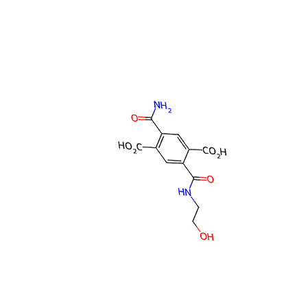 NC(=O)c1cc(C(=O)O)c(C(=O)NCCO)cc1C(=O)O